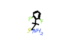 CC(C)(C(N)=S)c1c(F)cccc1F